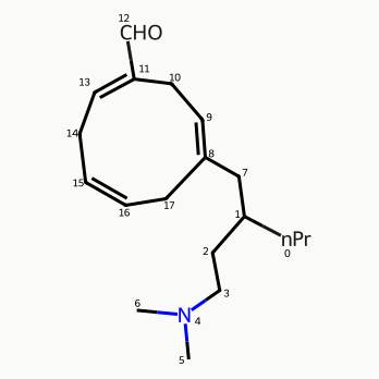 CCCC(CCN(C)C)C/C1=C/C/C(C=O)=C\C/C=C\C1